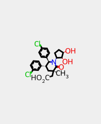 C[C@]1(CC(=O)O)C[C@H](c2cccc(Cl)c2)[C@@H](c2ccc(Cl)cc2)N([C@@H]2CC[C@H](O)[C@@H]2O)C1=O